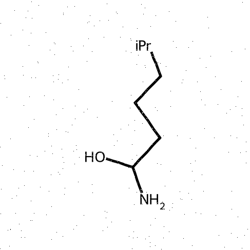 CC(C)CCCC(N)O